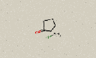 O=C1CCCC1.[SiH3]Cl